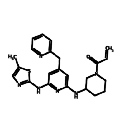 C=CC(=O)N1CCCC(Nc2cc(Cc3ccccn3)cc(Nc3ncc(C)s3)n2)C1